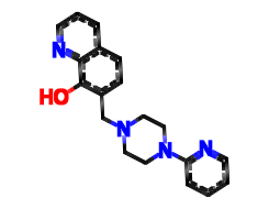 Oc1c(CN2CCN(c3ccccn3)CC2)ccc2cccnc12